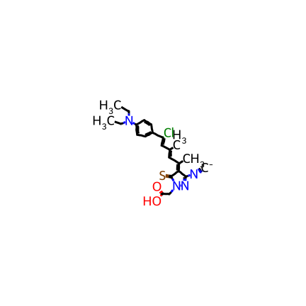 [C-]#[N+]C1=NN(CC(=O)O)C(=S)\C1=C(C)/C=C(C)/C=C(\Cl)c1ccc(N(CC)CC)cc1